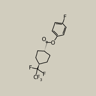 O=C(Oc1ccc(F)cc1)[C@H]1CC[C@H](C(F)(F)C(F)(F)F)CC1